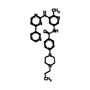 CCCN1CCN(c2ccc(C(=O)Nc3cnc(C)c(Nc4nccc(-c5cccnc5)n4)c3)cc2)CC1